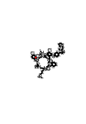 COC[C@@H]1NC(=O)[C@H](C)N(Cc2ccc(Cl)cc2Oc2ccc(-c3cnc(CN4CCCC4)n3C)cc2)C(=O)C[C@@H](Cc2ccccc2)C(=O)N(C)[C@@H](CCCCN(C)C)CNC(=O)C[C@H](Cc2ccc(Cl)cc2)N(C)C1=O